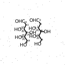 O=CC[C@@H](O)[C@@H](O)[C@H](O)CO.O=CC[C@@H](O)[C@H](O)[C@H](O)CO